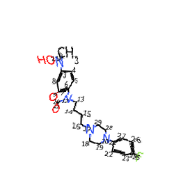 CN(O)c1ccc2c(c1)oc(=O)n2CCCCN1CCN(c2ccc(F)cc2)CC1